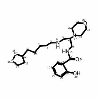 O=C(NCC(CNCCCCCC1CCSS1)N1CCOCC1)c1ccccc1O